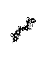 CN1c2ccc(F)cc2C(=O)CC12CCN(C(=O)NCc1ccc(F)c(NCC(C)(C)C(=O)N3CCOCC3)c1)CC2